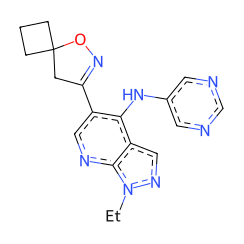 CCn1ncc2c(Nc3cncnc3)c(C3=NOC4(CCC4)C3)cnc21